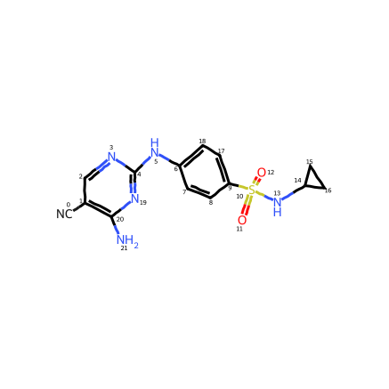 N#Cc1cnc(Nc2ccc(S(=O)(=O)NC3CC3)cc2)nc1N